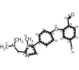 CN(C)Cc1ncc(-c2ccc(Oc3cc(F)ccc3C=O)cc2)n1C